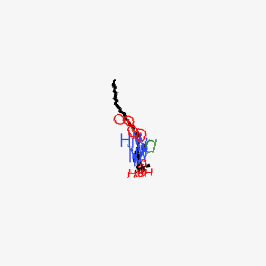 C#C[C@]1(CO)O[C@@H](n2cnc3c(NC(=O)OCCOC(=O)CCCCCCCCCCC)nc(Cl)nc32)C[C@@H]1O